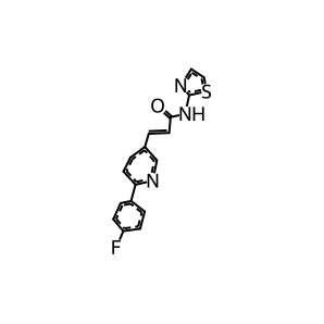 O=C(C=Cc1ccc(-c2ccc(F)cc2)nc1)Nc1nccs1